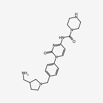 NCC1CCN(Cc2ccc(-n3ccc(NC(=O)N4CCNCC4)nc3=O)cc2)C1